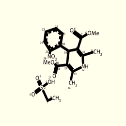 CCS(=O)(=O)O.COC(=O)C1=C(C)NC(C)=C(C(=O)OC)C1c1ccccc1[N+](=O)[O-]